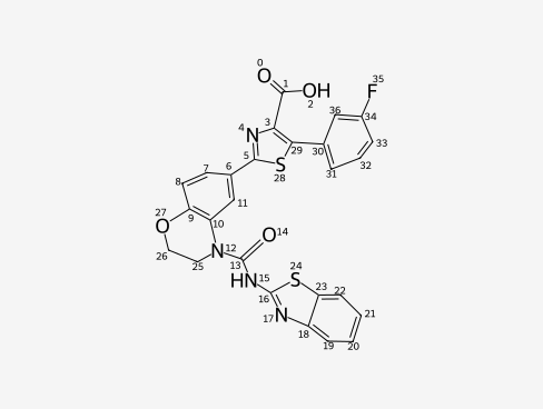 O=C(O)c1nc(-c2ccc3c(c2)N(C(=O)Nc2nc4ccccc4s2)CCO3)sc1-c1cccc(F)c1